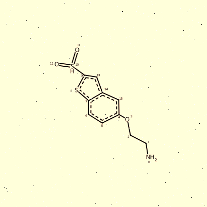 NCCOc1ccc2sc([SH](=O)=O)cc2c1